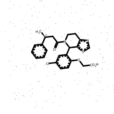 C[C@@H](CC(=O)N1CCc2ncsc2C1c1cc(Cl)ccc1OCC(=O)O)c1ccccc1